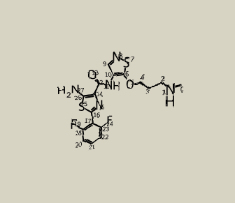 CNCCCOc1sncc1NC(=O)c1nc(-c2c(F)cccc2F)sc1N